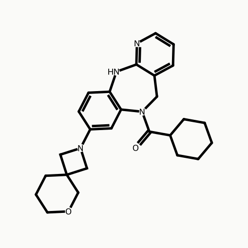 O=C(C1CCCCC1)N1Cc2cccnc2Nc2ccc(N3CC4(CCCOC4)C3)cc21